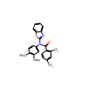 COc1ccc(N(C(=O)c2ccc(C(F)(F)F)cc2C(F)(F)F)c2nc3ccccc3s2)cc1OC